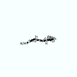 CCC(=O)C(CCCCNC(=O)COCCOCCNC(=O)COCCOCCNC(C)=O)NC(C)CC